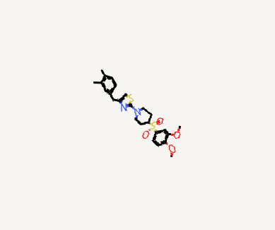 COc1ccc(S(=O)(=O)C2CCN(c3nc(Cc4ccc(C)c(C)c4)cs3)CC2)cc1OC